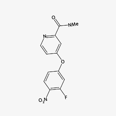 CNC(=O)c1cc(Oc2ccc([N+](=O)[O-])c(F)c2)ccn1